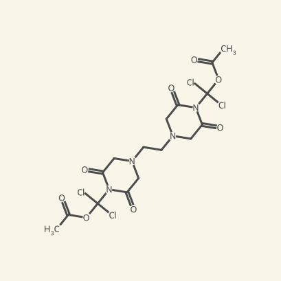 CC(=O)OC(Cl)(Cl)N1C(=O)CN(CCN2CC(=O)N(C(Cl)(Cl)OC(C)=O)C(=O)C2)CC1=O